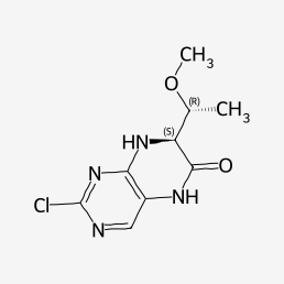 CO[C@H](C)[C@@H]1Nc2nc(Cl)ncc2NC1=O